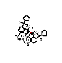 CC1=C(C)[CH]([Zr]([Cl])([Cl])([CH]2C(C)=C(C)c3c(C(Cl)(Cl)c4ccccc4)ccc(C)c32)[SiH](C)C)c2c(C)ccc(C(Cl)(Cl)c3ccccc3)c21